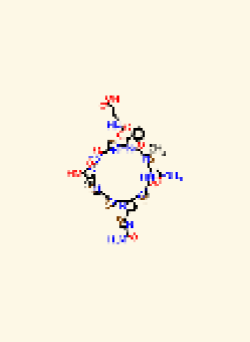 Cc1sc2nc1C(=O)N[C@@H]([C@H](OC(=O)NCCCC(=O)O)c1ccccc1)c1nc(cs1)C(=O)NC(=O)N1C[C@H](O)[C@H](C)[C@H]1c1nc(cs1)-c1nc(cs1)-c1nc(-c3nc(C(N)=O)cs3)ccc1-c1nc(cs1)C(=O)N[C@H]2CC(N)=O